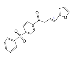 O=C(C/C=C/c1ccco1)c1ccc(S(=O)(=O)c2ccccc2)cc1